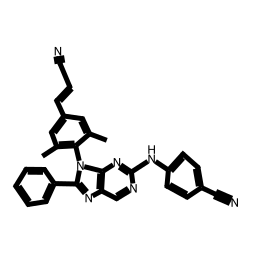 Cc1cc(/C=C/C#N)cc(C)c1-n1c(-c2ccccc2)nc2cnc(Nc3ccc(C#N)cc3)nc21